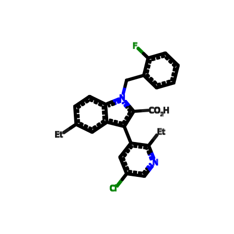 CCc1ccc2c(c1)c(-c1cc(Cl)cnc1CC)c(C(=O)O)n2Cc1ccccc1F